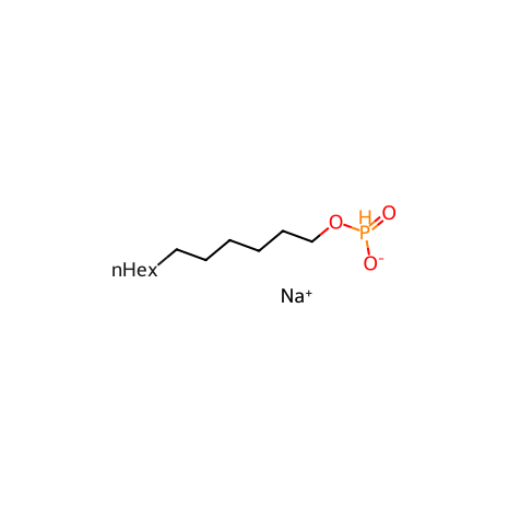 CCCCCCCCCCCCO[PH](=O)[O-].[Na+]